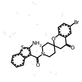 Nc1sc2ccccc2c1C(=O)N1CCC2(CC1)CC(=O)c1cc(Br)ccc1O2